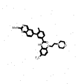 CNc1ncc2cc(-c3cc(C(=O)Nc4cc(C(F)(F)F)ccc4OCCN4CCOCC4)ccc3C)ccc2n1